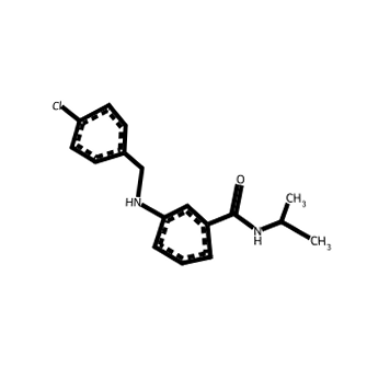 CC(C)NC(=O)c1cccc(NCc2ccc(Cl)cc2)c1